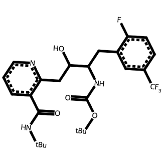 CC(C)(C)NC(=O)c1cccnc1CC(O)C(Cc1cc(C(F)(F)F)ccc1F)NC(=O)OC(C)(C)C